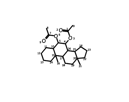 CC(=O)OC1C(OC(C)=O)C2CCCCC2(C)C2CCC3(C)CCCC3C12